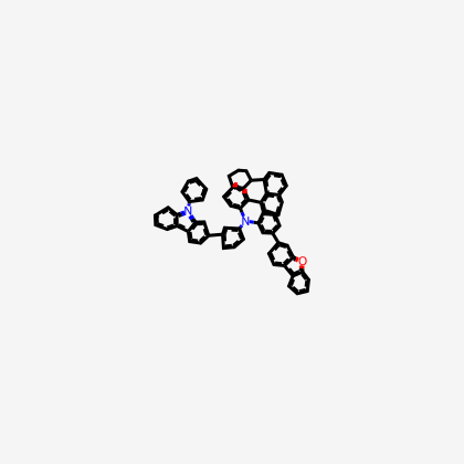 c1ccc(-n2c3ccccc3c3ccc(-c4cccc(N(c5cccc(-c6ccc7c(c6)oc6ccccc67)c5)c5ccccc5-c5cccc6cccc(C7CCCCC7)c56)c4)cc32)cc1